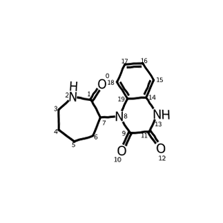 O=C1NCCCCC1n1c(=O)c(=O)[nH]c2ccccc21